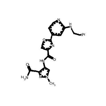 CC(C)CNc1cc(-c2nc(C(=O)Nc3cn(C)nc3C(N)=O)co2)ccn1